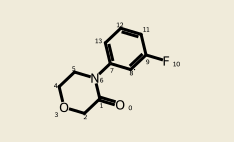 O=C1COCCN1c1[c]c(F)ccc1